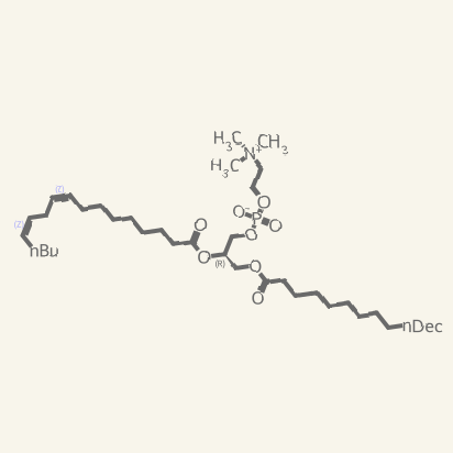 CCCC/C=C\C/C=C\CCCCCCCC(=O)O[C@H](COC(=O)CCCCCCCCCCCCCCCCCC)COP(=O)([O-])OCC[N+](C)(C)C